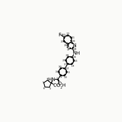 O=C(NC1(C(=O)O)CCCC1)c1ccc(-c2ccc(Nc3nc4ccc(F)cc4s3)cc2)cc1